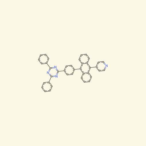 c1ccc(-c2nc(-c3ccccc3)nc(-c3ccc(-c4c5ccccc5c(-c5ccncc5)c5ccccc45)cc3)n2)cc1